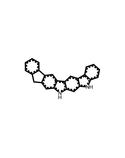 c1ccc2c(c1)Cc1cc3[nH]c4cc5[nH]c6ccccc6c5cc4c3cc1-2